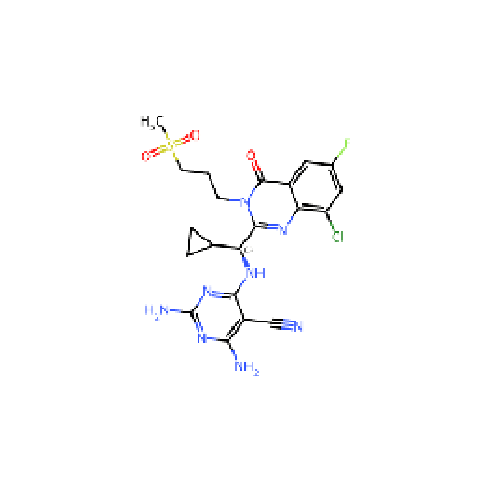 CS(=O)(=O)CCCn1c([C@@H](Nc2nc(N)nc(N)c2C#N)C2CC2)nc2c(Cl)cc(F)cc2c1=O